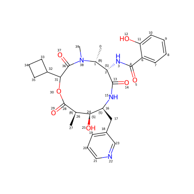 C[C@@H]1[C@H](NC(=O)c2ccccc2O)C(=O)N[C@@H](Cc2cccnc2)[C@@H](O)[C@@H](C)C(=O)OC(C2CCC2)C(=O)N1C